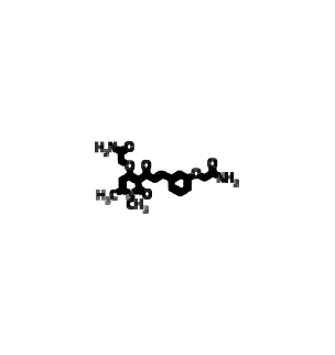 Cc1cc(OCC(N)=O)c(C(=O)C=Cc2cccc(OCC(N)=O)c2)c(=O)n1C